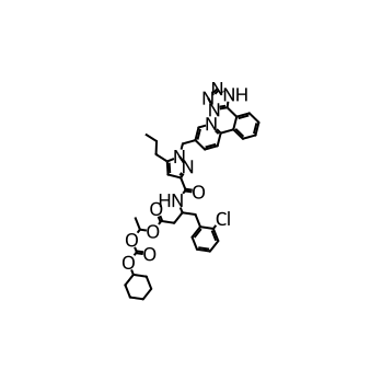 CCCc1cc(C(=O)NC(CC(=O)OC(C)OC(=O)OC2CCCCC2)Cc2ccccc2Cl)nn1Cc1ccc(-c2ccccc2-c2nnn[nH]2)nc1